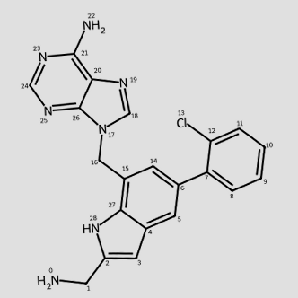 NCc1cc2cc(-c3ccccc3Cl)cc(Cn3cnc4c(N)ncnc43)c2[nH]1